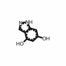 Oc1cc(O)c2cn[nH]c2c1